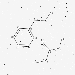 CCC(=O)CC.CCCc1ccccc1